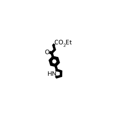 CCOC(=O)CCC(=O)c1ccc(C2CCCN2)cc1